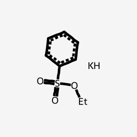 CCOS(=O)(=O)c1ccccc1.[KH]